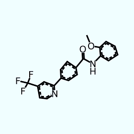 COc1ccccc1NC(=O)c1ccc(-c2cc(C(F)(F)F)ccn2)cc1